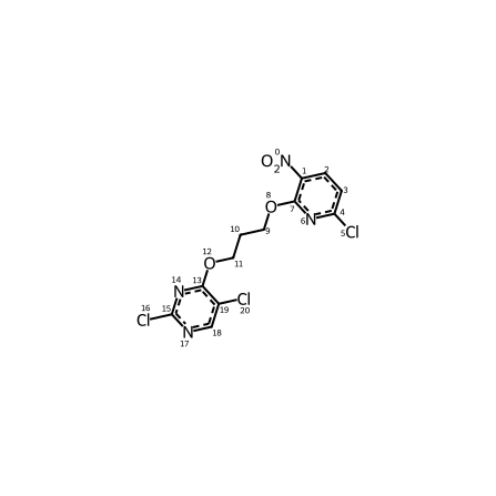 O=[N+]([O-])c1ccc(Cl)nc1OCCCOc1nc(Cl)ncc1Cl